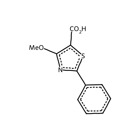 COc1nc(-c2ccccc2)sc1C(=O)O